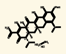 CCCCCc1cc(N(C)C)c2c(c1O)C(O)=C1C(=O)[C@]3(O)C(O)=C(C(N)=O)C(=O)[C@@H](N(C)C)[C@@H]3C[C@@H]1C2.Cl.NC(=O)O